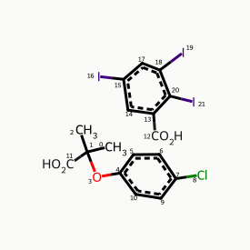 CC(C)(Oc1ccc(Cl)cc1)C(=O)O.O=C(O)c1cc(I)cc(I)c1I